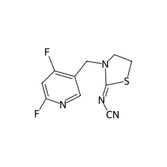 N#CN=C1SCCN1Cc1cnc(F)cc1F